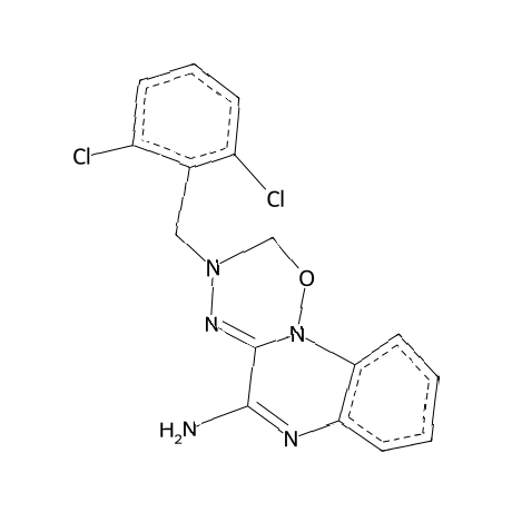 NC1=Nc2ccccc2N2OCN(Cc3c(Cl)cccc3Cl)N=C12